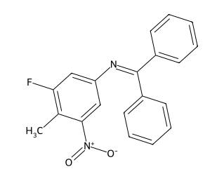 Cc1c(F)cc(N=C(c2ccccc2)c2ccccc2)cc1[N+](=O)[O-]